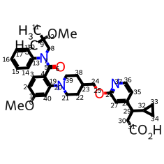 COc1ccc(C(=O)N(CC(C)(C)OC)c2ccccc2)c(N2CCC(COc3cc(C(CC(=O)O)C4CC4)ccn3)CC2)c1